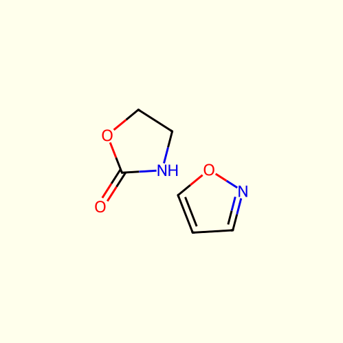 O=C1NCCO1.c1cnoc1